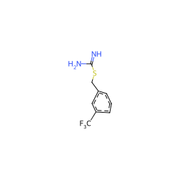 N=C(N)SCc1cccc(C(F)(F)F)c1